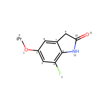 CC(C)Oc1cc(F)c2c(c1)CC(=O)N2